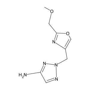 COCc1nc(Cn2ncc(N)n2)co1